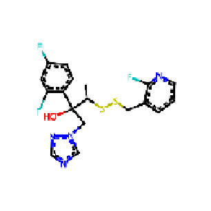 C[C@@H](SSCc1cccnc1F)[C@](O)(Cn1cncn1)c1ccc(F)cc1F